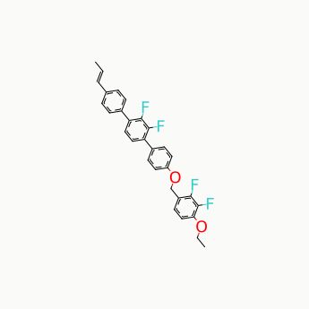 C/C=C/c1ccc(-c2ccc(-c3ccc(OCc4ccc(OCC)c(F)c4F)cc3)c(F)c2F)cc1